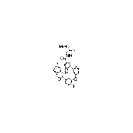 COC(=O)CNC(=O)c1c[nH]c(-c2cc(Oc3cc(C(=O)Cc4cc(C)ccc4F)ccc3F)ccn2)c1